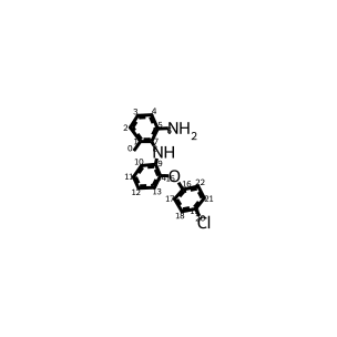 Cc1cccc(N)c1Nc1ccccc1Oc1ccc(Cl)cc1